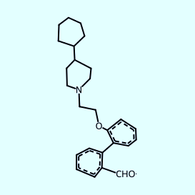 O=[C]c1ccccc1-c1ccccc1OCCN1CCC(C2CCCCC2)CC1